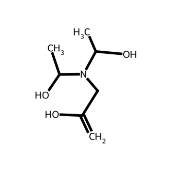 C=C(O)CN(C(C)O)C(C)O